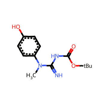 CN(C(=N)NC(=O)OC(C)(C)C)c1ccc(O)cc1